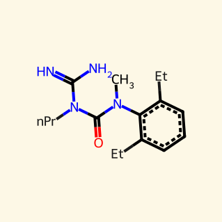 CCCN(C(=N)N)C(=O)N(C)c1c(CC)cccc1CC